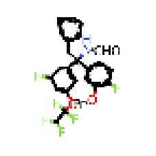 CC(C)Oc1cc([C@@](Cc2ccccc2)(NC=O)C2=CC(OC(F)(F)C(F)F)=CC(F)C2)ccc1F